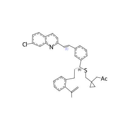 C=C(C)c1ccccc1CC[C@@H](SCC1(CC(C)=O)CC1)c1cccc(/C=C/c2ccc3ccc(Cl)cc3n2)c1